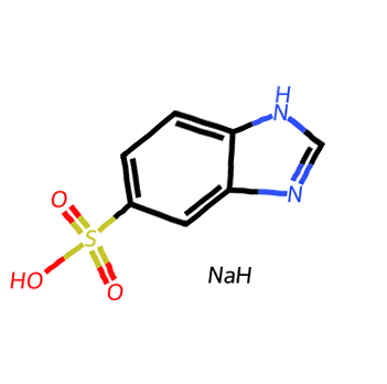 O=S(=O)(O)c1ccc2[nH]cnc2c1.[NaH]